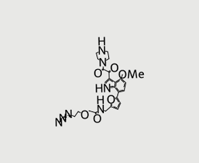 COc1ccc(-c2ccc(CNC(=O)COCCN=[N+]=[N-])o2)c2[nH]cc(C(=O)C(=O)N3CCNCC3)c12